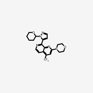 FC(F)(F)c1cc(N2CCOCC2)nc2c(-c3ccnn3C3CCCCO3)nccc12